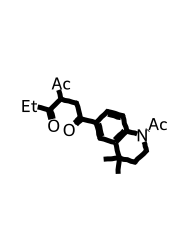 CCC(=O)C(CC(=O)c1ccc2c(c1)C(C)(C)CCN2C(C)=O)C(C)=O